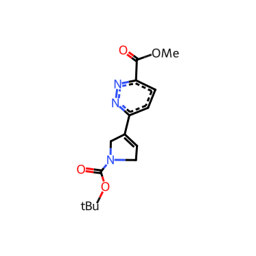 COC(=O)c1ccc(C2=CCN(C(=O)OC(C)(C)C)C2)nn1